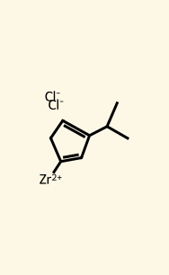 CC(C)C1=CC[C]([Zr+2])=C1.[Cl-].[Cl-]